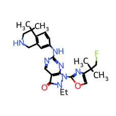 CCn1c(=O)c2cnc(Nc3ccc4c(c3)CNCC4(C)C)nc2n1-c1nc(C(C)(C)CF)co1